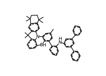 Cc1cc(-c2ccccc2Nc2cc(-c3ccccc3)cc(-c3ccccc3)c2)c2c(c1)N1c3cc4c(cc3C(C)(C)c3cccc(c31)B2)C(C)(C)CCC4(C)C